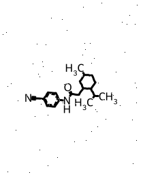 CC1CCC(C(C)C)C(CC(=O)Nc2ccc(C#N)cc2)C1